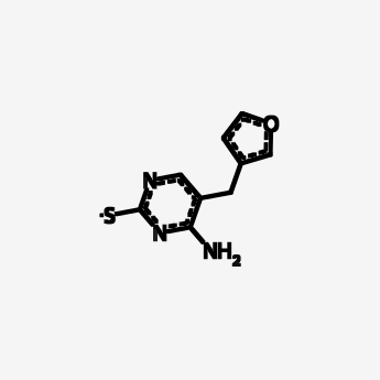 Nc1nc([S])ncc1Cc1ccoc1